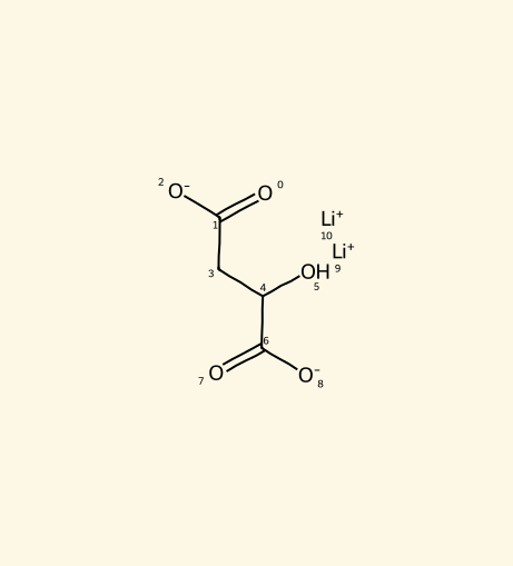 O=C([O-])CC(O)C(=O)[O-].[Li+].[Li+]